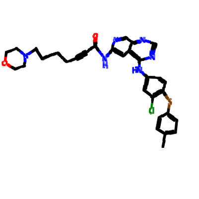 Cc1ccc(Sc2ccc(Nc3ncnc4cnc(NC(=O)C#CCCCCN5CCOCC5)cc34)cc2Cl)cc1